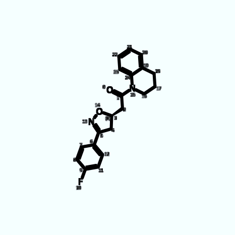 O=C(C[C@H]1CC(c2ccc(F)cc2)=NO1)N1CCCc2ccccc21